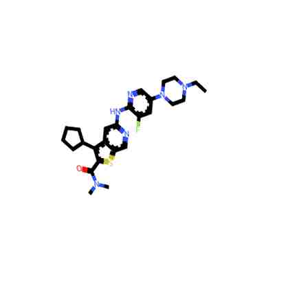 CCN1CCN(c2cnc(Nc3cc4c(C5CCCC5)c(C(=O)N(C)C)sc4cn3)c(F)c2)CC1